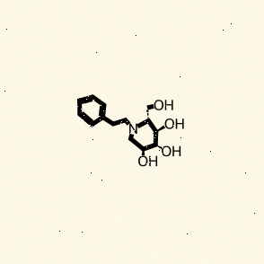 OC[C@@H]1[C@@H](O)[C@H](O)[C@@H](O)CN1CCc1ccccc1